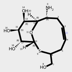 N[C@@H]1C/C=C\CC(CO)S[C@H]2O[C@H]1[C@H](O)[C@H](O)[C@H]2O